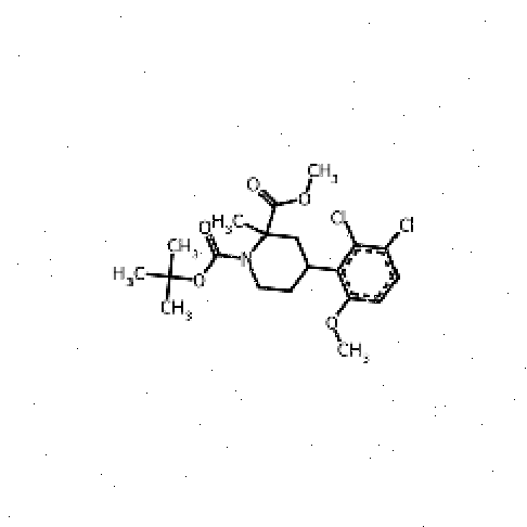 COC(=O)C1(C)CC(c2c(OC)ccc(Cl)c2Cl)CCN1C(=O)OC(C)(C)C